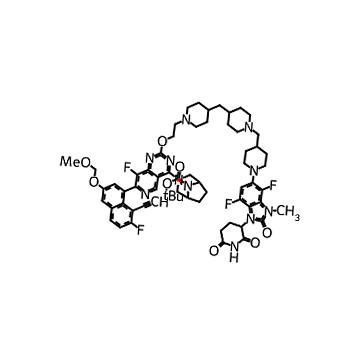 C#Cc1c(F)ccc2cc(OCOC)cc(-c3ncc4c(N5CC6CCC(C5)N6C(=O)OC(C)(C)C)nc(OCCN5CCC(CC6CCN(CC7CCN(c8cc(F)c9c(c8F)n(C)c(=O)n9C8CCC(=O)NC8=O)CC7)CC6)CC5)nc4c3F)c12